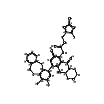 Cc1oc(=O)oc1COC(=O)Oc1c2n(c(-c3cc(F)c(F)c4c3Cc3ccccc3SC4)cc1=O)NC1COCCN1C2=O